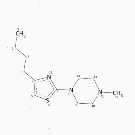 CCCCc1csc(N2CCN(C)CC2)n1